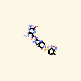 Cc1ccc(S(=O)(=O)N2CCC3(CC2)CN/C(=N\C(=O)c2nc(I)c(N)nc2N)N3)c2nonc12